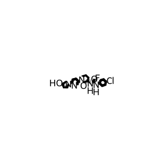 O=C(Nc1ccc(Cl)cc1F)N[C@@H]1CCCN(c2ccc(N3CC[C@@H](O)C3)nc2)C1=O